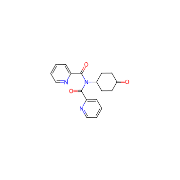 O=C1CCC(N(C(=O)c2ccccn2)C(=O)c2ccccn2)CC1